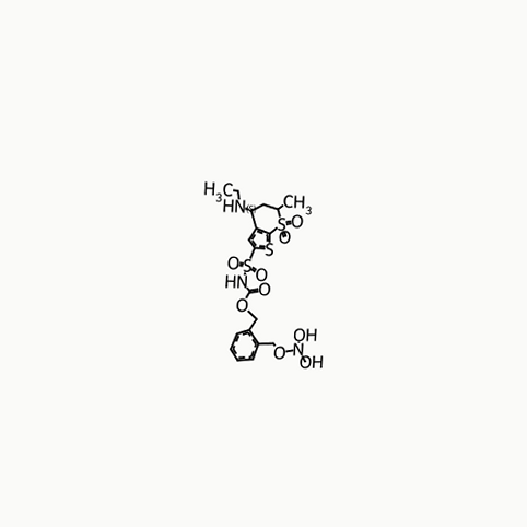 CCN[C@H]1CC(C)S(=O)(=O)c2sc(S(=O)(=O)NC(=O)OCc3ccccc3CON(O)O)cc21